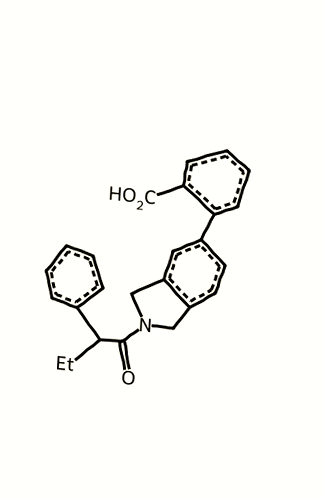 CCC(C(=O)N1Cc2ccc(-c3ccccc3C(=O)O)cc2C1)c1ccccc1